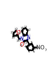 O=c1c(-c2cccc([N+](=O)[O-])c2)nc2ccccc2n1Cc1ccco1